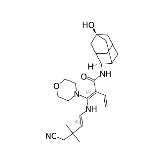 C=C/C(C(=O)N[C@H]1C2CC3CC1C[C@@](O)(C3)C2)=C(\N/C=C/C(C)(C)CC#N)N1CCOCC1